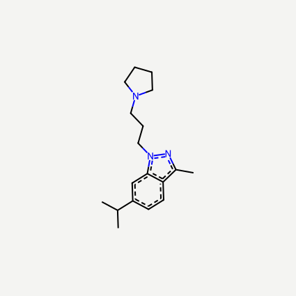 Cc1nn(CCCN2CCCC2)c2cc(C(C)C)ccc12